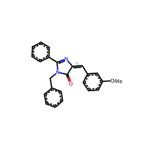 COc1cccc(/C=C2/N=C(c3ccccc3)N(Cc3ccccc3)C2=O)c1